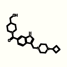 O=C(c1ccc2c(CN3CCN(C4CCC4)CC3)c[nH]c2c1)N1CCC(CO)CC1